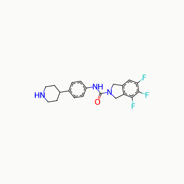 O=C(Nc1ccc(C2CCNCC2)cc1)N1Cc2cc(F)c(F)c(F)c2C1